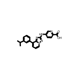 CC(C)c1cccc(-c2cccn3nc(Nc4ccc(C(=O)O)nc4)nc23)c1